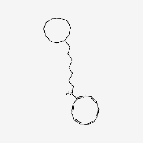 C1=C\C=C/C=C\C(NCCCCCCCC2CCCCCCCCCC2)=C/C=C\C=C/1